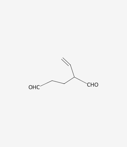 C=CC(C=O)CCC=O